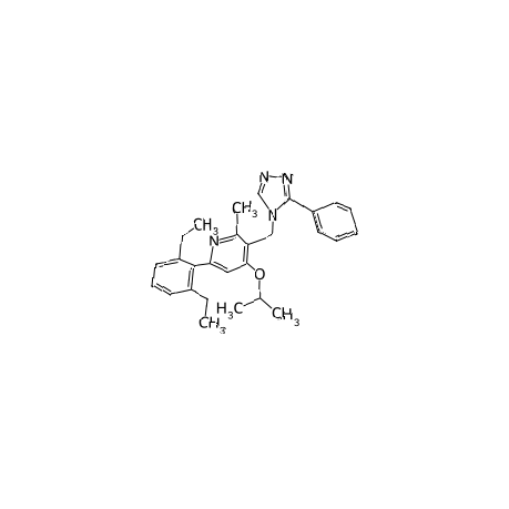 CCc1cccc(CC)c1-c1cc(OC(C)C)c(Cn2cnnc2-c2ccccc2)c(C)n1